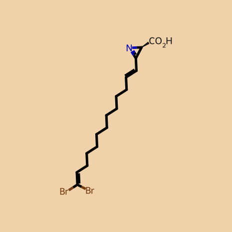 O=C(O)[C@@H]1N=C1/C=C/CCCCCCCCCC=C(Br)Br